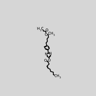 CCCCC/C=C\CC(=O)Oc1cnc(-c2ccc(CCCCC(C)OC(=O)CC)cc2)nc1